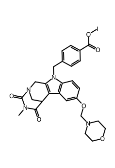 CN1C(=O)C2CN(Cc3c2c2cc(OCN4CCOCC4)ccc2n3Cc2ccc(C(=O)OI)cc2)C1=O